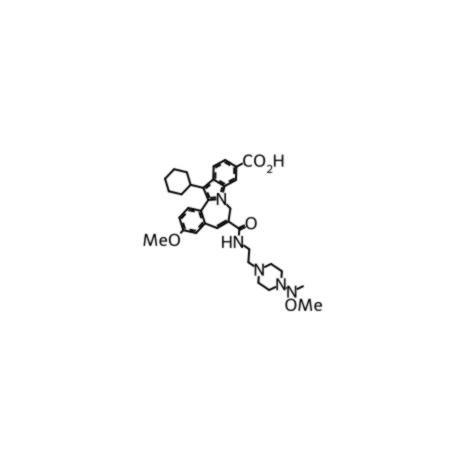 COc1ccc2c(c1)C=C(C(=O)NCCN1CCN(N(C)OC)CC1)Cn1c-2c(C2CCCCC2)c2ccc(C(=O)O)cc21